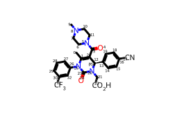 CC1=C(C(=O)N2CCN(C)CC2)[C@@H](c2ccc(C#N)cc2)N(CC(=O)O)C(=O)N1c1cccc(C(F)(F)F)c1